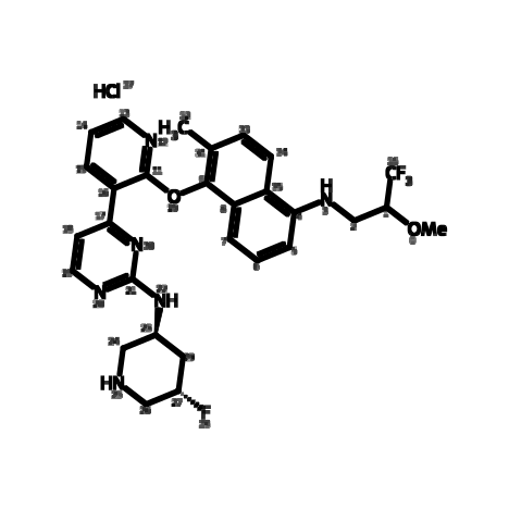 COC(CNc1cccc2c(Oc3ncccc3-c3ccnc(N[C@@H]4CNC[C@@H](F)C4)n3)c(C)ccc12)C(F)(F)F.Cl